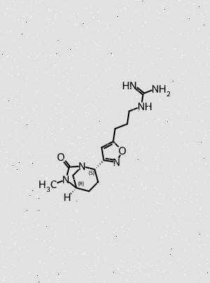 CN1C(=O)N2C[C@H]1CC[C@H]2c1cc(CCCNC(=N)N)on1